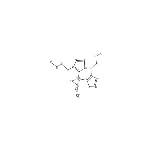 CCCCC1=[C]([Ti+2]2([C]3=C(CCCC)C=CC3)[CH2][CH2]2)CC=C1.[Cl-].[Cl-]